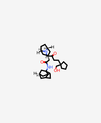 O=C(CCC1(CO)CCCC1)CN1[C@@H]2CC[C@H]1C[C@H](CC(=O)NC13CC4CC1C[C@@H](C4)C3)C2